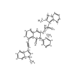 Cc1nn2cccnc2c1C(=O)N[C@H](C)c1nc2cccc(C#Cc3cn(C)c4ccccc34)c2c(=O)n1-c1ccccc1